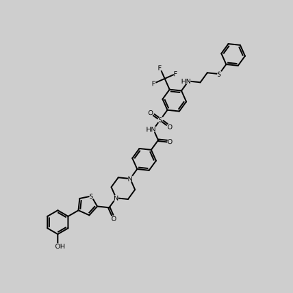 O=C(NS(=O)(=O)c1ccc(NCCSc2ccccc2)c(C(F)(F)F)c1)c1ccc(N2CCN(C(=O)c3cc(-c4cccc(O)c4)cs3)CC2)cc1